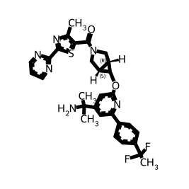 Cc1nc(-c2ncccn2)sc1C(=O)N1C[C@@H]2C(Oc3cc(C(C)(C)N)cc(-c4ccc(C(C)(F)F)cc4)n3)[C@@H]2C1